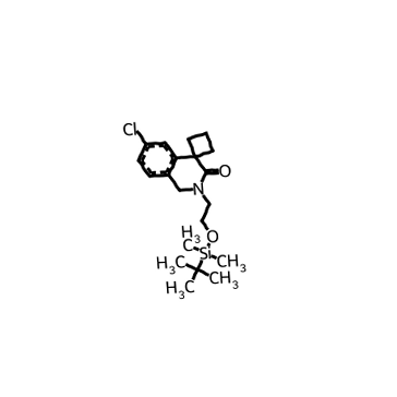 CC(C)(C)[Si](C)(C)OCCN1Cc2ccc(Cl)cc2C2(CCC2)C1=O